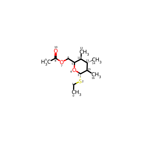 CCS[C@@H]1OC(COC(C)=O)[C@@H](C)[C@H](C)C1C